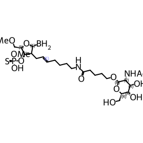 B[C@@H]1O[C@H](COC)[C@H](OP(O)(=S)OC)C1C/C=C/CCCCNC(=O)CCCCO[C@@H]1O[C@H](CO)[C@H](O)[C@H](O)[C@H]1NC(C)=O